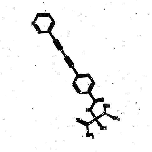 C[C@@H](O)[C@@](O)(NC(=O)c1ccc(C#CC#Cc2cccnc2)cc1)C(N)=O